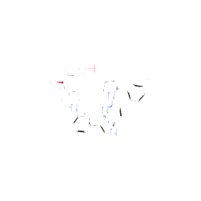 CC(CO)C(=O)N1CCN(c2cccc(-c3cnc4ccc(N5CCC[C@@H]5c5cccc(F)c5)nn34)n2)CC1